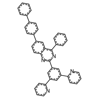 c1ccc(-c2ccc(-c3ccc4nc(-c5cc(-c6ccccn6)cc(-c6ccccn6)c5)nc(-c5ccccc5)c4c3)cc2)cc1